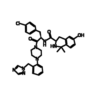 CC1(C)NC(C(=O)N[C@H](Cc2ccc(Cl)cc2)C(=O)N2CCN(c3ccccc3Cn3cncn3)CC2)Cc2cc(O)ccc21